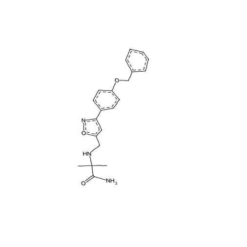 CC(C)(NCc1cc(-c2ccc(OCc3ccccc3)cc2)no1)C(N)=O